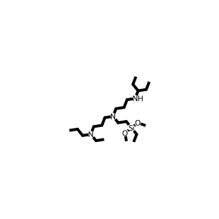 CCCN(CC)CCCN(CCCNC(CC)CC)CC[Si](CC)(OC)OC